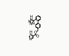 O=C(OCc1ccc(-c2ccccc2-c2nnn[nH]2)cc1)c1cnc[nH]1